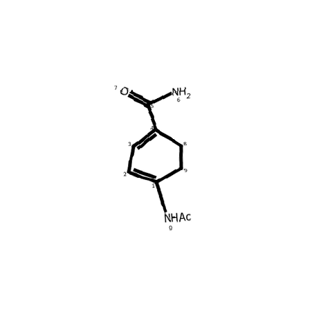 CC(=O)NC1=CC=C(C(N)=O)CC1